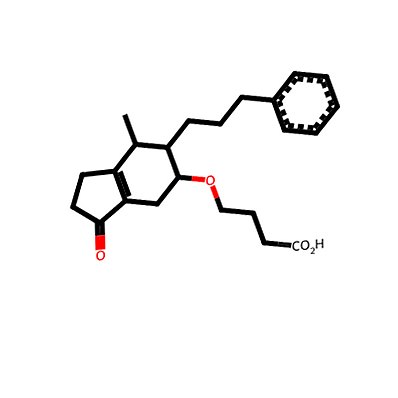 CC1C2=C(CC(OCCCC(=O)O)C1CCCc1ccccc1)C(=O)CC2